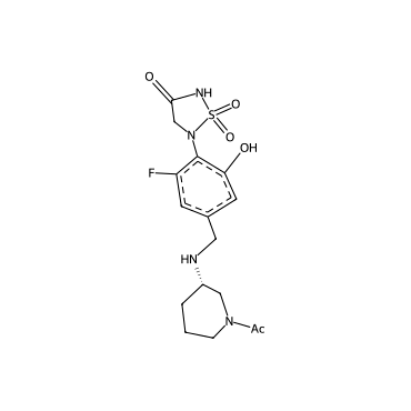 CC(=O)N1CCC[C@H](NCc2cc(O)c(N3CC(=O)NS3(=O)=O)c(F)c2)C1